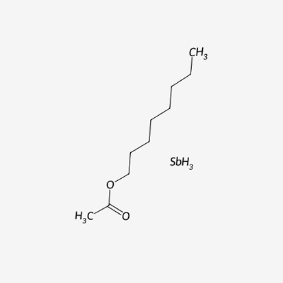 CCCCCCCCOC(C)=O.[SbH3]